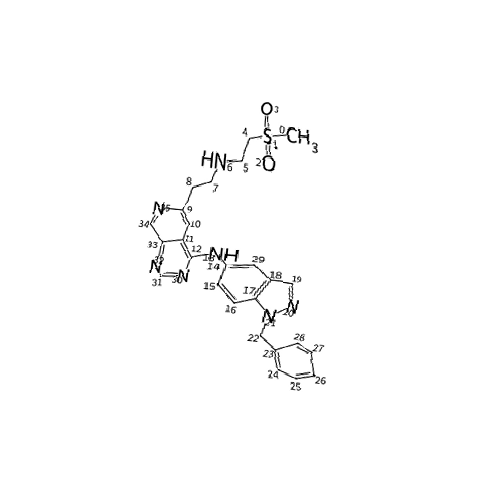 CS(=O)(=O)CCNCCc1cc2c(Nc3ccc4c(cnn4Cc4ccccc4)c3)ncnc2cn1